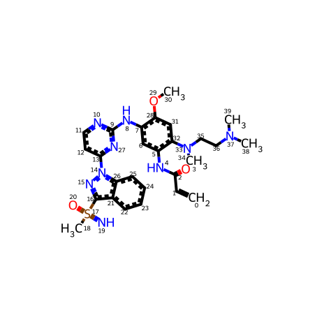 C=CC(=O)Nc1cc(Nc2nccc(-n3nc(S(C)(=N)=O)c4ccccc43)n2)c(OC)cc1N(C)CCN(C)C